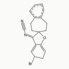 N#C/N=C1/C2=CC(Br)CC=C2OC12CCc1ccccc1CC2